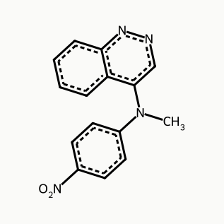 CN(c1ccc([N+](=O)[O-])cc1)c1cnnc2ccccc12